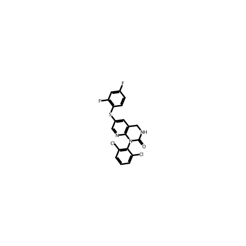 O=C1NCc2cc(Sc3ccc(F)cc3F)cnc2N1c1c(Cl)cccc1Cl